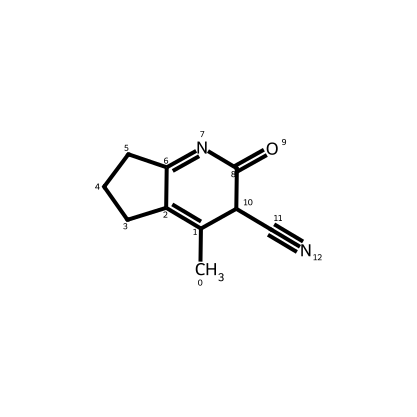 CC1=C2CCCC2=NC(=O)C1C#N